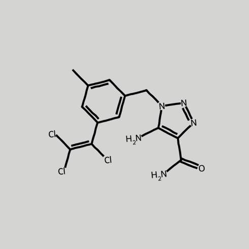 Cc1cc(Cn2nnc(C(N)=O)c2N)cc(C(Cl)=C(Cl)Cl)c1